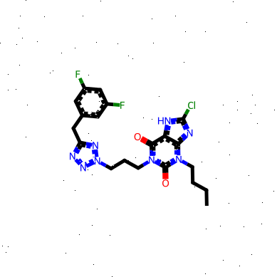 CCCCn1c(=O)n(CCCn2nnc(Cc3cc(F)cc(F)c3)n2)c(=O)c2[nH]c(Cl)nc21